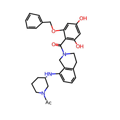 CC(=O)N1CCC[C@H](Nc2cccc3c2CN(C(=O)c2c(O)cc(O)cc2OCc2ccccc2)CC3)C1